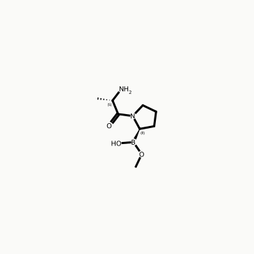 COB(O)[C@@H]1CCCN1C(=O)[C@H](C)N